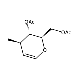 CC(=O)OC[C@H]1OC=C[C@@H](C)[C@@H]1OC(C)=O